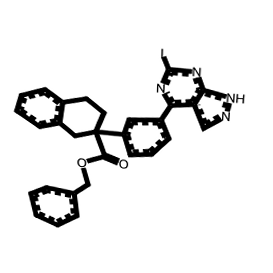 O=C(OCc1ccccc1)C1(c2cccc(-c3nc(I)nc4[nH]ncc34)c2)CCc2ccccc2C1